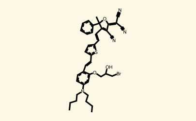 CCCCN(CCCC)c1ccc(/C=C/c2ccc(/C=C/C3=C(C#N)C(=C(C#N)C#N)OC3(C)c3ccccc3)s2)c(OCC(O)CBr)c1